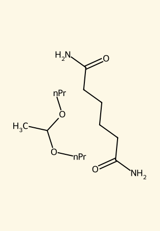 CCCOC(C)OCCC.NC(=O)CCCCC(N)=O